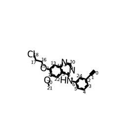 C#Cc1cccc(Nc2ncnc3cc(OCCCl)c(OC)cc23)c1